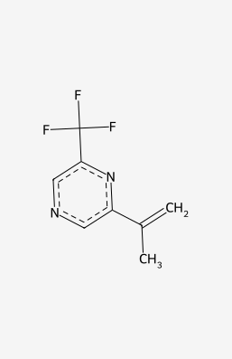 C=C(C)c1cncc(C(F)(F)F)n1